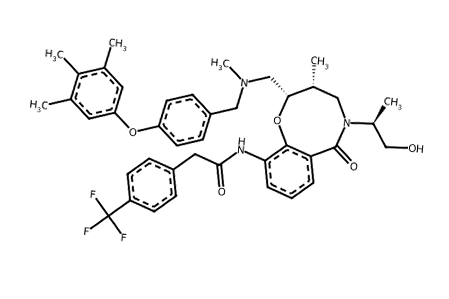 Cc1cc(Oc2ccc(CN(C)C[C@H]3Oc4c(NC(=O)Cc5ccc(C(F)(F)F)cc5)cccc4C(=O)N([C@@H](C)CO)C[C@H]3C)cc2)cc(C)c1C